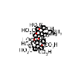 CC(O)CC(C)(C)OC(=O)c1c(Cl)c(OOc2c(Cl)c(C(=O)O)c(-c3cccc(C(=O)O)c3Cl)c(-c3cccc(C(=O)O)c3Cl)c2-c2cccc(C(=O)O)c2Cl)c(-c2cccc(C(=O)O)c2Cl)c(-c2cccc(C(=O)O)c2Cl)c1-c1cccc(C(=O)O)c1Cl